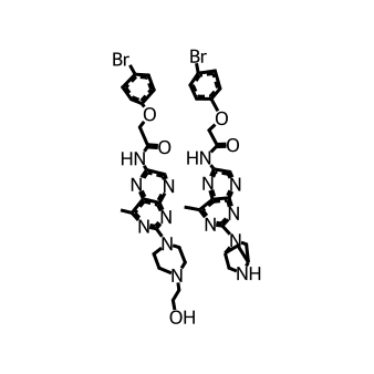 Cc1nc(N2CC3CC2CN3)nc2ncc(NC(=O)COc3ccc(Br)cc3)nc12.Cc1nc(N2CCN(CCO)CC2)nc2ncc(NC(=O)COc3ccc(Br)cc3)nc12